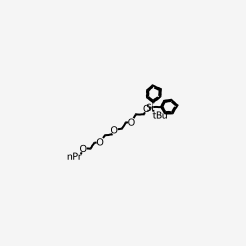 CCCOCCOCCOCCOCCO[Si](c1ccccc1)(c1ccccc1)C(C)(C)C